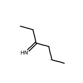 C[CH]CC(=N)CC